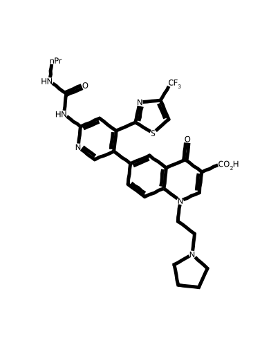 CCCNC(=O)Nc1cc(-c2nc(C(F)(F)F)cs2)c(-c2ccc3c(c2)c(=O)c(C(=O)O)cn3CCN2CCCC2)cn1